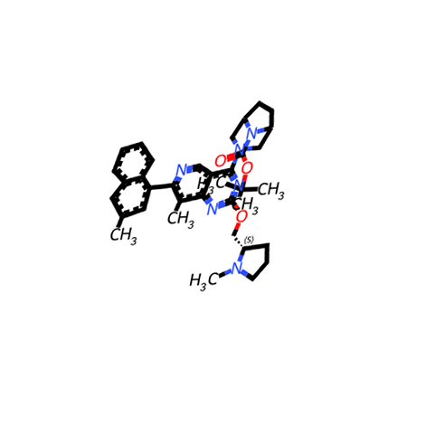 Cc1cc(-c2ncc3c(N4CC5CCC(C4)N5C(=O)OC(C)(C)C)nc(OC[C@@H]4CCCN4C)nc3c2C)c2ccccc2c1